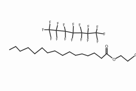 CCCCCCCCCCCCCCCC(=O)OCCO.FC(F)(F)C(F)(F)C(F)(F)C(F)(F)C(F)(F)C(F)(F)C(F)(F)F